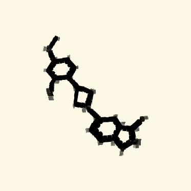 COc1ccc(C2CN(c3ccc4s[nH]c(=O)c4c3)C2)c(Cl)c1